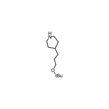 CC(C)(C)OCCCC1CCNCC1